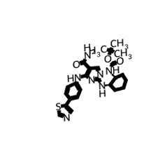 CC(C)(C)OC(=O)N[C@H]1CCCC[C@H]1Nc1ncc(C(N)=O)c(Nc2ccc(-c3cncs3)cc2)n1